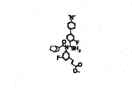 BC(c1ccc(-c2ccc(N(C)C)cc2)cc1F)N(C(=O)C1CC2CCC1C2)c1cc(F)cc(/C=C/C(=O)OC)c1